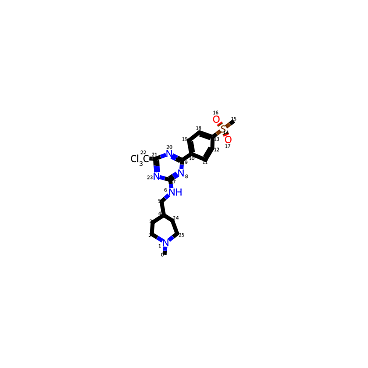 CN1CCC(CNc2nc(-c3ccc(S(C)(=O)=O)cc3)nc(C(Cl)(Cl)Cl)n2)CC1